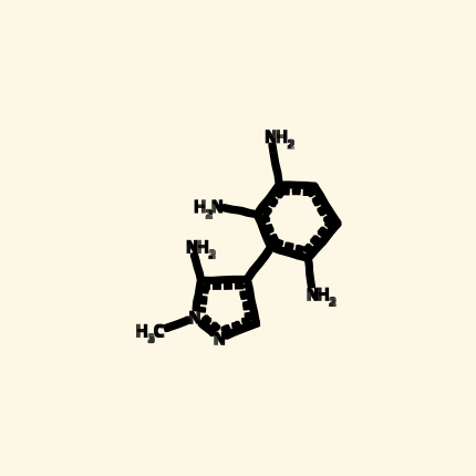 Cn1ncc(-c2c(N)ccc(N)c2N)c1N